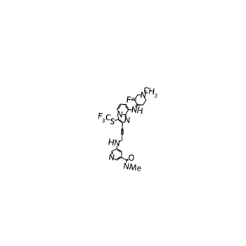 CNC(=O)c1cncc(NCC#Cc2nc3c(N[C@@H]4CCN(C)C[C@@H]4F)cccn3c2SC(F)(F)F)c1